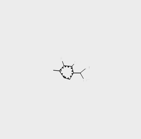 CCCC(CC)c1ccc(F)c(F)c1C